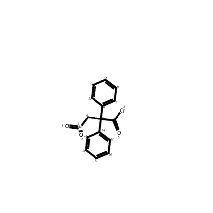 O=C(Cl)C(CP(=O)=O)(c1ccccc1)c1ccccc1